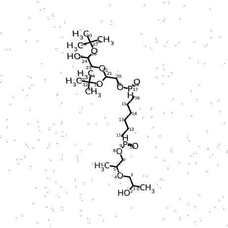 CC(O)COC(C)CO[PH](=O)CCCCCC[PH](=O)OCC(OCC(O)OC(C)(C)C)OC(C)(C)C